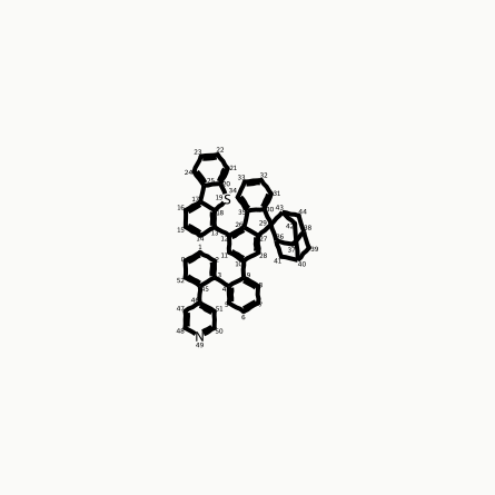 c1ccc(-c2ccccc2-c2cc(-c3cccc4c3sc3ccccc34)c3c(c2)C2(c4ccccc4-3)C3CC4CC(C3)CC2C4)c(-c2ccncc2)c1